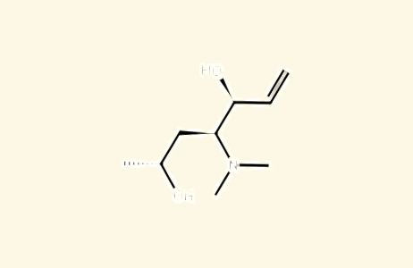 C=C[C@H](O)[C@H](C[C@@H](C)O)N(C)C